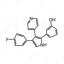 Oc1cccc(-c2[nH]cc(-c3ccc(F)cc3)c2-c2ccncc2)c1